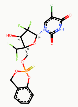 O=c1[nH]c(=O)n([C@@H]2O[C@@](COP3(=S)OCc4ccccc4O3)(C(F)F)[C@@H](O)C2(F)F)cc1Cl